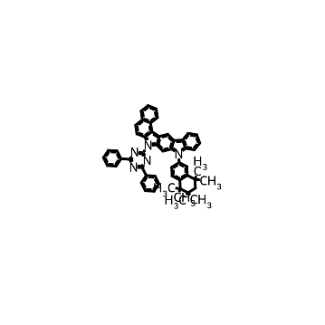 CC1(C)CC(C)(C)C(C)(C)c2ccc(-n3c4ccccc4c4cc5c6c7ccccc7ccc6n(-c6nc(-c7ccccc7)nc(-c7ccccc7)n6)c5cc43)cc21